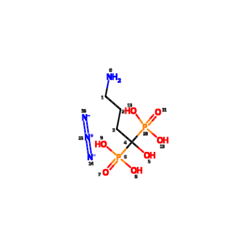 NCCCC(O)(P(=O)(O)O)P(=O)(O)O.[N-]=[N+]=[N-]